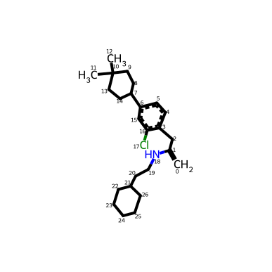 C=C(Cc1ccc(C2CCC(C)(C)CC2)cc1Cl)NCCC1CCCCC1